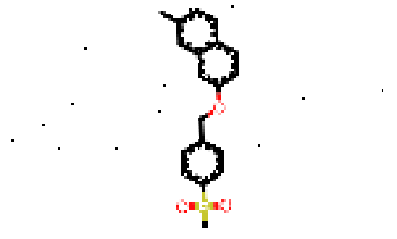 Cc1ccc2ccc(OCc3ccc(S(C)(=O)=O)cc3)cc2c1